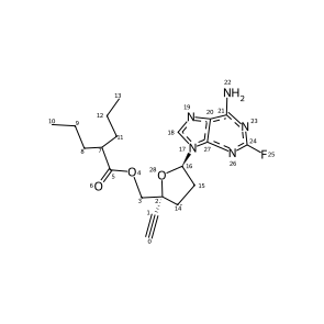 C#C[C@@]1(COC(=O)C(CCC)CCC)[CH]C[C@H](n2cnc3c(N)nc(F)nc32)O1